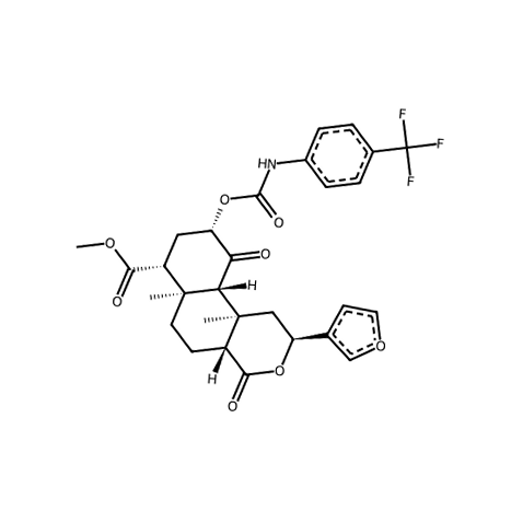 COC(=O)[C@@H]1C[C@H](OC(=O)Nc2ccc(C(F)(F)F)cc2)C(=O)[C@H]2[C@@]1(C)CC[C@H]1C(=O)O[C@H](c3ccoc3)C[C@]21C